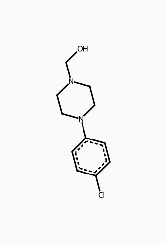 OCN1CCN(c2ccc(Cl)cc2)CC1